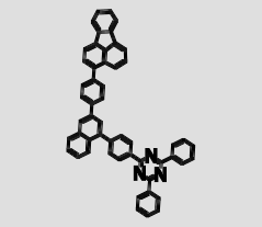 c1ccc(-c2nc(-c3ccccc3)nc(-c3ccc(-c4cc(-c5ccc(-c6ccc7c8c(cccc68)-c6ccccc6-7)cc5)cc5ccccc45)cc3)n2)cc1